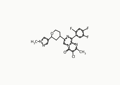 Cc1nc2c(-c3cc(F)c(F)cc3F)nc(C3CCOC(c4cnn(C)c4)C3)cn2c(=O)c1Cl